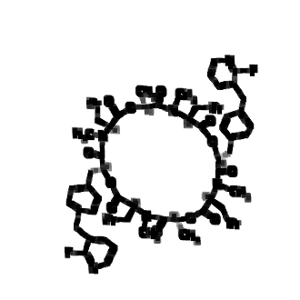 CC(C)C[C@H]1C(=O)O[C@H](Cc2ccc(Cc3cccnc3F)cc2)C(=O)N(C)[C@@H](CC(C)C)C(=O)O[C@H](C)C(=O)N(C)[C@@H](CC(C)C)C(=O)O[C@H](Cc2ccc(Cc3cccnc3F)cc2)C(=O)N(C)[C@@H](CC(C)C)C(=O)O[C@H](C)C(=O)N1C